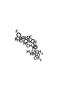 [2H]C([2H])(Oc1nc(C)n(-c2cc(-n3ccc(C(C)(C)NC(C)=O)n3)ncc2C)c(=O)c1Cl)c1ccc(F)cc1F